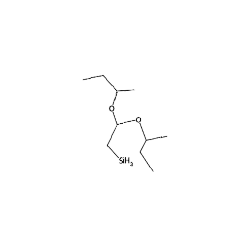 CCC(C)OC(C[SiH3])OC(C)CC